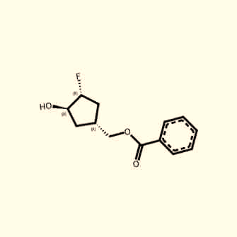 O=C(OC[C@@H]1C[C@@H](O)[C@H](F)C1)c1ccccc1